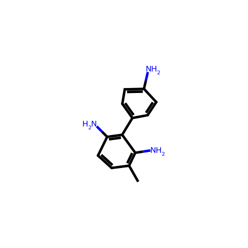 Cc1ccc(N)c(-c2ccc(N)cc2)c1N